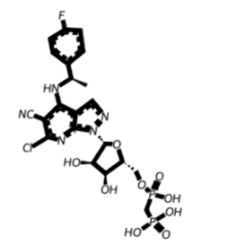 C[C@@H](Nc1c(C#N)c(Cl)nc2c1cnn2[C@@H]1O[C@H](COP(=O)(O)CP(=O)(O)O)[C@@H](O)[C@H]1O)c1ccc(F)cc1